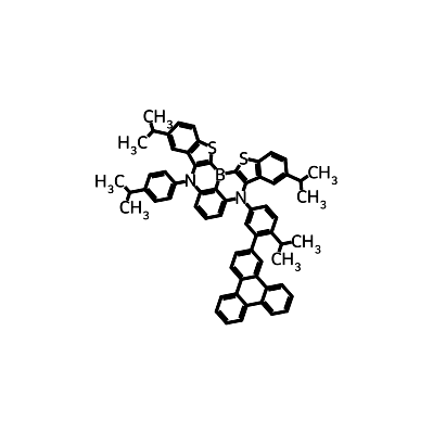 CC(C)c1ccc(N2c3cccc4c3B(c3sc5ccc(C(C)C)cc5c32)c2sc3ccc(C(C)C)cc3c2N4c2ccc(C(C)C)c(-c3ccc4c5ccccc5c5ccccc5c4c3)c2)cc1